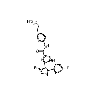 CC(C)n1cnc(-c2ccc(F)cc2)c1-c1nc(C(=O)Nc2ccc(CCC(=O)O)cc2)c[nH]1